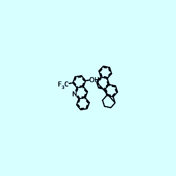 Oc1ccc(C(F)(F)F)c2nc3ccccc3cc12.c1ccc2c(c1)c1cc3c4c(ccc32)C1CCC4